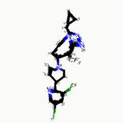 Fc1cnc(C2CCN(c3ccn4c(CC5CC5)nnc4c3C(F)(F)F)CC2)c(F)c1